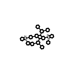 c1ccc(-c2cc(-c3ccccc3)cc(-c3c4ccc(-c5nc6ccccc6n5-c5ccccc5)cc4c(-c4cc(-c5ccccc5)cc(-c5ccccc5)c4)c4ccc(-c5ccc(-c6nc7ccccc7n6-c6ccccc6)cc5)cc34)c2)cc1